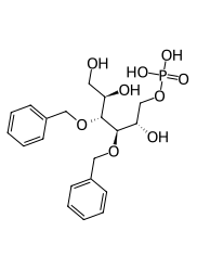 O=P(O)(O)OC[C@H](O)[C@@H](OCc1ccccc1)[C@H](OCc1ccccc1)[C@H](O)CO